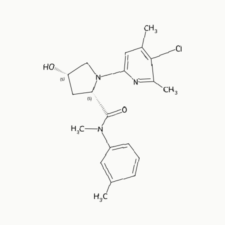 Cc1cccc(N(C)C(=O)[C@@H]2C[C@H](O)CN2c2cc(C)c(Cl)c(C)n2)c1